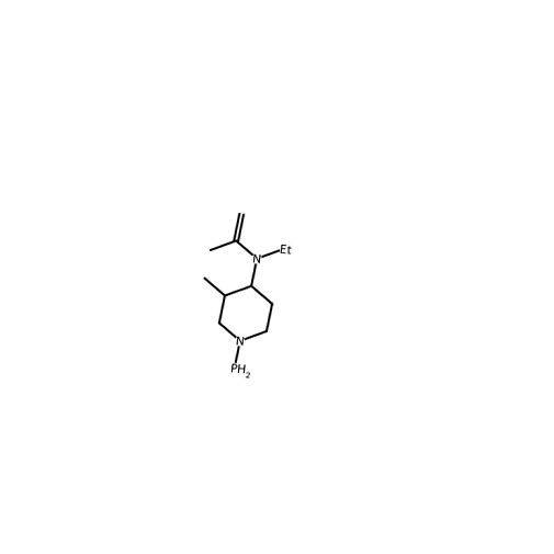 C=C(C)N(CC)C1CCN(P)CC1C